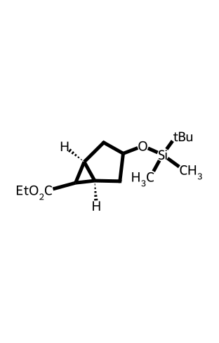 CCOC(=O)C1[C@H]2CC(O[Si](C)(C)C(C)(C)C)C[C@@H]12